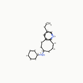 CCc1cnc2c(c1)CCC(NC1CCCCC1)CCC2